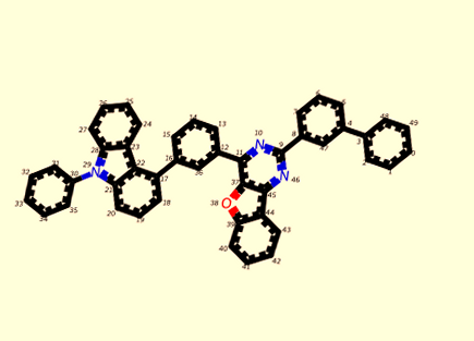 c1ccc(-c2cccc(-c3nc(-c4cccc(-c5cccc6c5c5ccccc5n6-c5ccccc5)c4)c4oc5ccccc5c4n3)c2)cc1